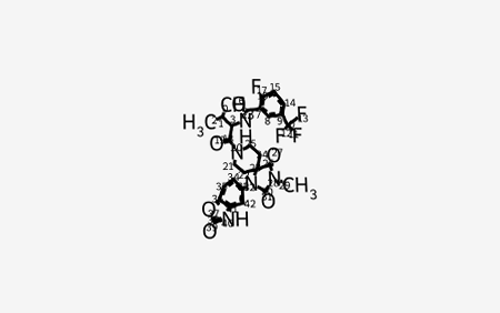 CC(C)C(NC(=O)c1cc(C(F)(F)F)ccc1F)C(=O)N1CCC2(CC1)C(=O)N(C)C(=O)N2c1ccc2oc(=O)[nH]c2c1